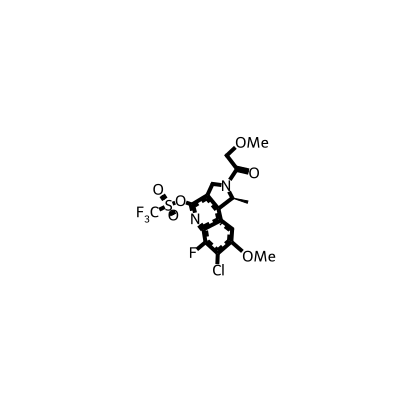 COCC(=O)N1Cc2c(OS(=O)(=O)C(F)(F)F)nc3c(F)c(Cl)c(OC)cc3c2[C@@H]1C